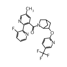 Cc1cnc(-c2ncccc2F)c(C(=O)N2CC3CC(Oc4ccc(C(F)(F)F)cn4)C2C3)c1